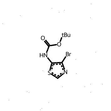 CC(C)(C)OC(=O)Nc1scnc1Br